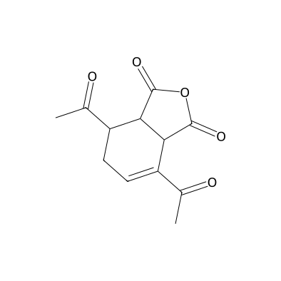 CC(=O)C1=CCC(C(C)=O)C2C(=O)OC(=O)C12